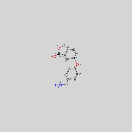 NCc1ccc(Oc2ccc3c(c2)B(O)OC3)cc1